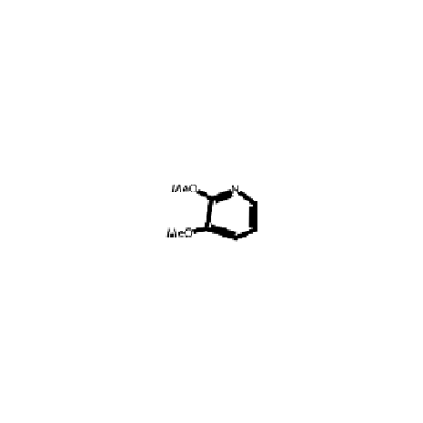 [CH2]Oc1ncccc1OC